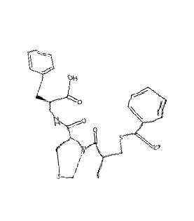 CC(CSC(=O)c1ccccc1)C(=O)N1CSCC1C(=O)N[C@@H](Cc1ccccc1)C(=O)O